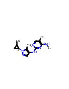 CCNc1nc(Nc2cnn([C@H]3CC3C#N)c2C)ncc1C(F)(F)F